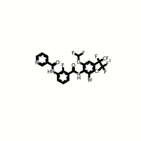 O=C(Nc1cccc(C(=O)Nc2c(Br)cc(C(F)(C(F)(F)F)C(F)(F)Cl)cc2OC(F)F)c1F)c1cccnc1